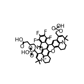 CN(CCCC(=O)O)C(=O)c1c(F)c(F)c(F)c(F)c1C1=c2cc3c4c(c2Oc2c1cc1c5c2CCCN5C(C)(C)C=C1CS(=O)(=O)O)CCC[N+]=4C(C)(C)C=C3CS(=O)(=O)O